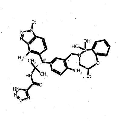 CCC1CN(Cc2cc([C@@H](c3ccc4c(nnn4CC)c3C)C(C)(C)NC(=O)c3nnn[nH]3)ccc2C)S(O)(O)c2ccccc2O1